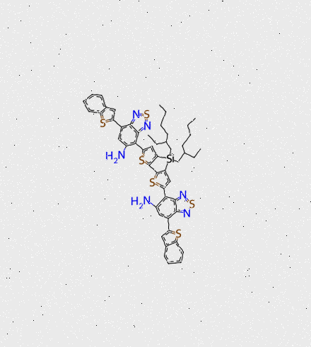 CCCCC(CC)C[Si]1(CC(CC)CCCC)c2cc(-c3c(N)cc(-c4cc5ccccc5s4)c4nsnc34)sc2-c2sc(-c3c(N)cc(-c4cc5ccccc5s4)c4nsnc34)cc21